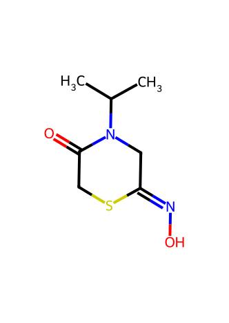 CC(C)N1CC(=NO)SCC1=O